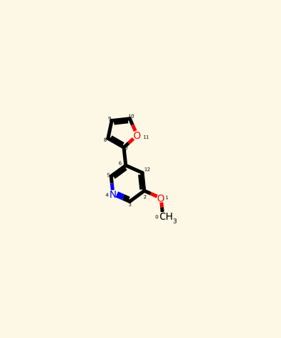 COc1cncc(-c2ccco2)c1